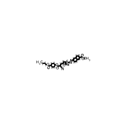 CCCCOC(=O)C1CCC(OC(=O)/C(C#N)=C/c2cc3sc(/N=N/c4ccc5cc(C(=O)OC)ccc5c4)nc3o2)CC1